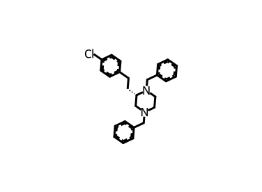 Clc1ccc(CC[C@H]2CN(Cc3ccccc3)CCN2Cc2ccccc2)cc1